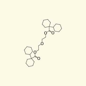 O=C(OCCOCCOC(=O)C1(C2CCCCC2)CCCCC1)C1(C2CCCCC2)CCCCC1